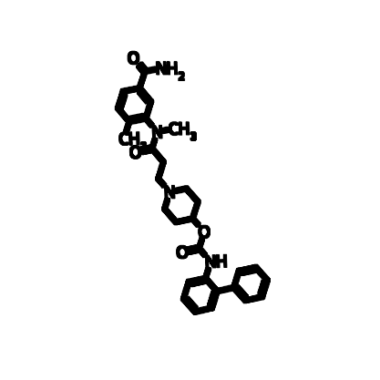 Cc1ccc(C(N)=O)cc1N(C)C(=O)CCN1CCC(OC(=O)Nc2ccccc2-c2ccccc2)CC1